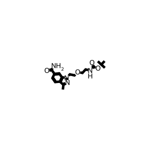 Cc1nn(CCOCCNC(=O)OC(C)(C)C)c2cc(C(N)=O)ccc12